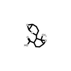 CC12OC1CCC(C(=O)O)C2C1CCC2OC2C1